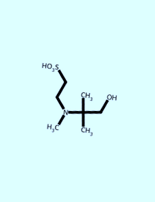 CN(CCS(=O)(=O)O)C(C)(C)CO